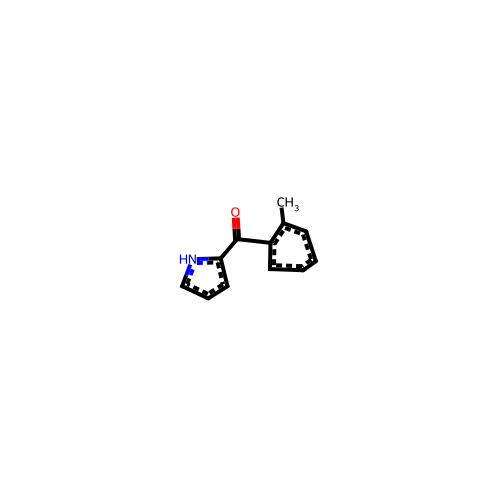 Cc1ccccc1C(=O)c1ccc[nH]1